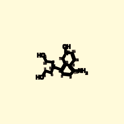 Nc1ccc(N(CCO)CCO)c2c1C=CN(O)C2